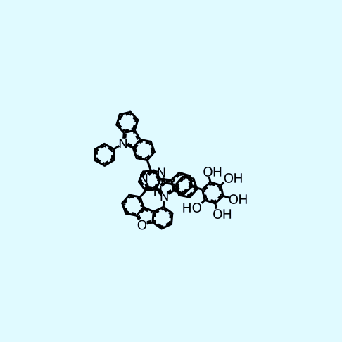 Oc1c(O)c(O)c(-c2ccc3c4ccccc4n(-c4cccc5oc6cccc(-c7nc(-c8ccccc8)nc(-c8ccc9c%10ccccc%10n(-c%10ccccc%10)c9c8)n7)c6c45)c3c2)c(O)c1O